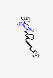 CCc1ccc(CC=Cc2cccc(CC3NC(C=O)CN3C)c2)cc1